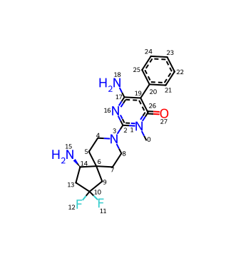 Cn1c(N2CCC3(CC2)CC(F)(F)C[C@H]3N)nc(N)c(-c2ccccc2)c1=O